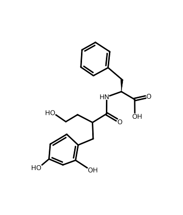 O=C(N[C@@H](Cc1ccccc1)C(=O)O)C(CCO)Cc1ccc(O)cc1O